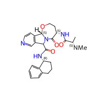 CN[C@@H](C)C(=O)N[C@H]1CCO[C@H]2c3ccncc3C(C(=O)N[C@@H]3CCCc4ccccc43)N2C1=O